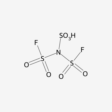 O=S(=O)(O)N(S(=O)(=O)F)S(=O)(=O)F